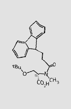 CN(C(=O)CCC1c2ccccc2-c2ccccc21)[C@@H](COC(C)(C)C)C(=O)O